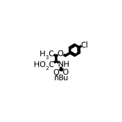 CCCCOC(=O)NC(C(=O)O)C(C)OCc1ccc(Cl)cc1